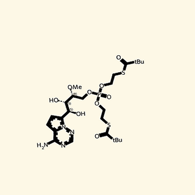 CO[C@H](COP(=O)(OCCSC(=O)C(C)(C)C)OCCSC(=O)C(C)(C)C)[C@@H](O)[C@@H](O)c1ccc2c(N)ncnn12